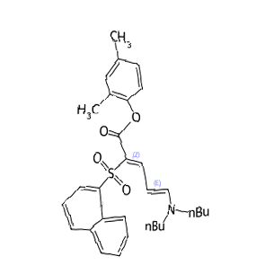 CCCCN(/C=C/C=C(/C(=O)Oc1ccc(C)cc1C)S(=O)(=O)c1cccc2ccccc12)CCCC